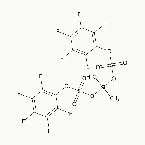 C[Si](C)(OS(=O)(=O)Oc1c(F)c(F)c(F)c(F)c1F)OS(=O)(=O)Oc1c(F)c(F)c(F)c(F)c1F